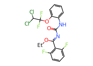 CCOC(=NC(=O)Nc1ccccc1OC(F)(F)C(Cl)Cl)c1c(F)cccc1F